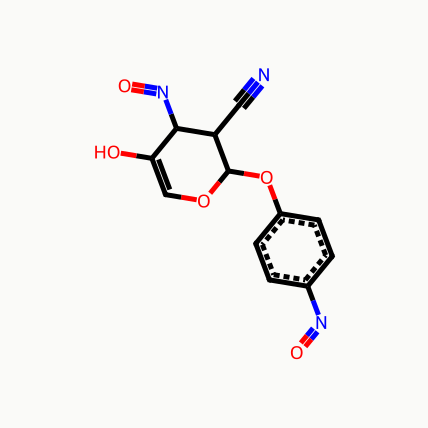 N#CC1C(Oc2ccc(N=O)cc2)OC=C(O)C1N=O